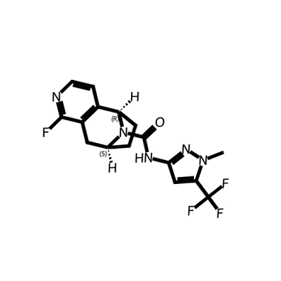 Cn1nc(NC(=O)N2[C@H]3CC[C@@H]2c2ccnc(F)c2C3)cc1C(F)(F)F